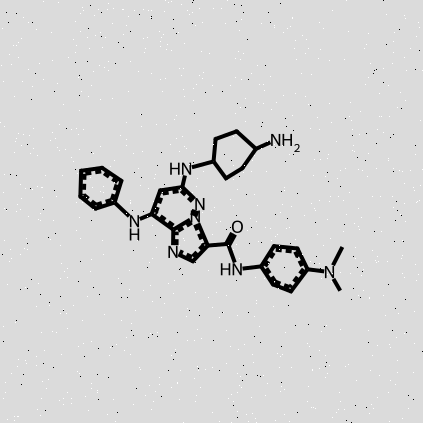 CN(C)c1ccc(NC(=O)c2cnc3c(Nc4ccccc4)cc(NC4CCC(N)CC4)nn23)cc1